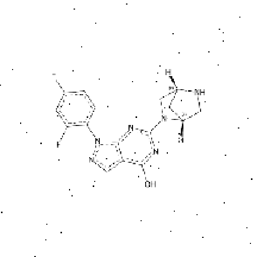 Oc1nc(N2C[C@H]3C[C@@H]2CN3)nc2c1cnn2-c1ccc(F)cc1F